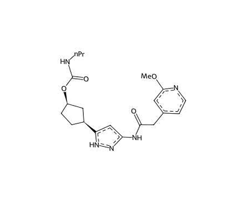 CCCNC(=O)O[C@@H]1CC[C@H](c2cc(NC(=O)Cc3ccnc(OC)c3)n[nH]2)C1